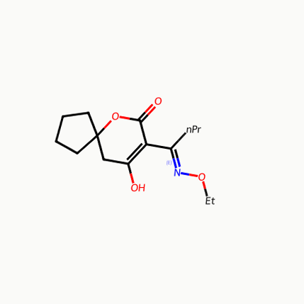 CCC/C(=N\OCC)C1=C(O)CC2(CCCC2)OC1=O